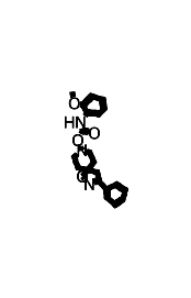 COc1ccccc1NC(=O)ON1CCC2(CC1)CC(c1ccccc1)=NO2